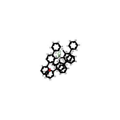 Cc1c(-c2ccccc2)ccc(-c2ccccc2)c1[Si](Cl)(c1c(-c2ccccc2)ccc(-c2ccccc2)c1C)c1c(-c2ccccc2)ccc(-c2ccccc2)c1C